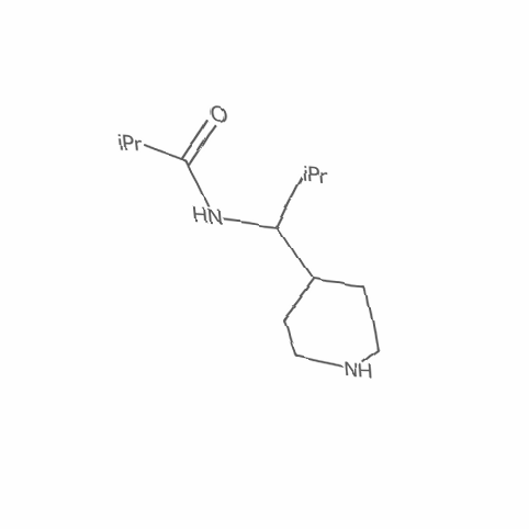 CC(C)C(=O)NC(C(C)C)C1CCNCC1